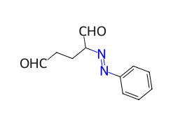 O=CCCC(C=O)N=Nc1ccccc1